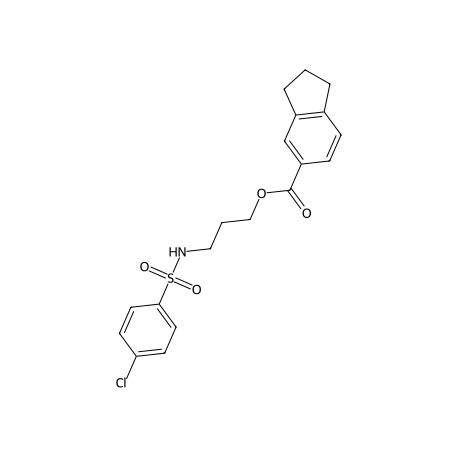 O=C(OCCCNS(=O)(=O)c1ccc(Cl)cc1)c1ccc2c(c1)CCC2